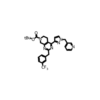 CC(C)(C)OC(=O)N1CCc2c(nc(Cc3cccc(C(F)(F)F)c3)nc2-c2ccn(Cc3cccnc3)n2)C1